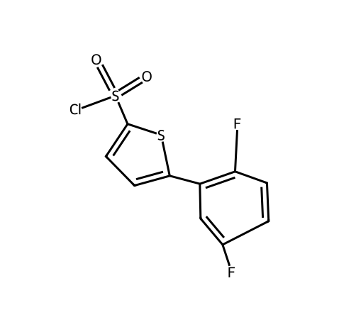 O=S(=O)(Cl)c1ccc(-c2cc(F)ccc2F)s1